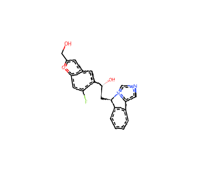 OCc1cc2cc([C@H](O)C[C@@H]3c4ccccc4-c4cncn43)c(F)cc2o1